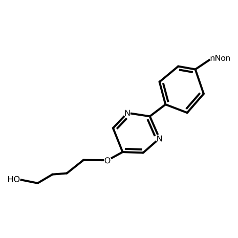 CCCCCCCCCc1ccc(-c2ncc(OCCCCO)cn2)cc1